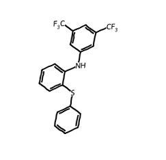 FC(F)(F)c1cc(Nc2ccccc2Sc2ccccc2)cc(C(F)(F)F)c1